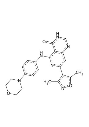 Cc1noc(C)c1-c1cc2nc[nH]c(=O)c2c(Nc2ccc(N3CCOCC3)cc2)n1